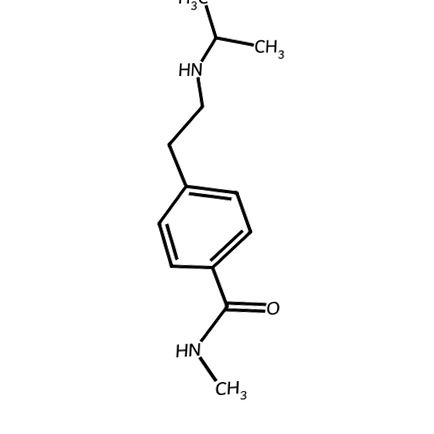 CNC(=O)c1ccc(CCNC(C)C)cc1